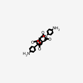 Nc1ccc(-n2c(=O)c3ccc(c2=O)c2c4ccc(c(=O)n(-c5ccc(N)cc5)c4=O)c32)cc1